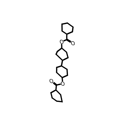 O=C(OC1CCC(C2CCC(OC(=O)C3CCCCC3)CC2)CC1)C1CCCCC1